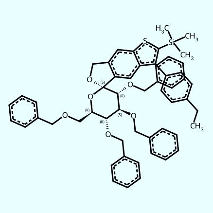 CCc1ccc(-c2c([Si](C)(C)C)sc3cc4c(cc23)[C@]2(OC4)O[C@H](COCc3ccccc3)[C@@H](OCc3ccccc3)[C@H](OCc3ccccc3)[C@H]2OCc2ccccc2)cc1